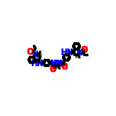 CCC(=O)N1c2ccccc2[C@H](Nc2ccc(NC(=O)[C@H](C)NC(=O)c3ccc(N[C@@H]4C[C@H](C)N(C(=O)CC)c5ccccc54)cc3)cc2)C[C@@H]1C